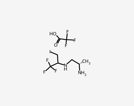 C[C@H](N)CNC(CI)C(F)(F)F.O=C(O)C(F)(F)F